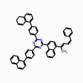 C/C(=C\C=C/c1ccccc1)c1ccc(-c2nc(-c3ccc(-c4cccc5c4C=CCC5)cc3)nc(-c3ccc(-c4cccc5ccccc45)cc3)n2)c2ccccc12